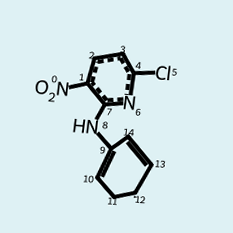 O=[N+]([O-])c1ccc(Cl)nc1NC1=CC[CH]C=C1